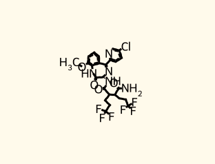 COc1cccc2c1NC(=O)[C@@H](NC(=O)C(CCC(F)(F)F)C(CCC(F)(F)F)C(N)=O)N=C2c1ccc(Cl)cn1